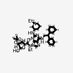 CCN1CCCC(Nc2nc(NCC(c3ccccc3)c3ccccc3)c3ncn(N(CC)C(=O)[C@H]4O[C@@H](O)[C@@H]5OC(C)(C)O[C@@H]54)c3n2)C1